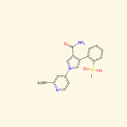 CC(=O)Nc1cc(-n2cc(C(N)=O)c(-c3ccccc3S(C)(=O)=O)c2)ccn1